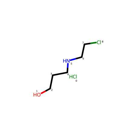 Cl.OCCCNCCCl